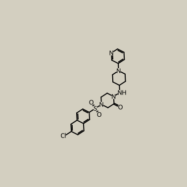 O=C1CN(S(=O)(=O)c2ccc3cc(Cl)ccc3c2)CCN1NC1CCN(c2cccnc2)CC1